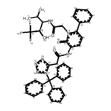 CC(C)C(NC(=O)Cn1c(-c2ccccc2)ccc(NC(=O)Cc2nnnn2C(c2ccccc2)(c2ccccc2)c2ccccc2)c1=O)C(O)C(F)(F)F